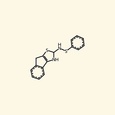 c1ccc(SNC2NC3=C(Cc4ccccc43)S2)cc1